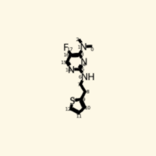 CN(C)c1nc(NCCc2cccs2)ncc1F